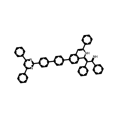 N=C(/C(=C1\NC(c2ccccc2)=Cc2cc(-c3ccc(-c4ccc(-c5nc(-c6ccccc6)cc(-c6ccccc6)n5)cc4)cc3)ccc21)c1ccccc1)c1ccccc1